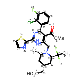 COC(=O)C1=C(CN2[C@H](C)C[C@@H](CC(=O)O)C[C@@H]2C(C)(F)F)NC(c2nccs2)=N[C@H]1c1cccc(F)c1Cl